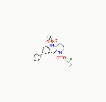 CS(=O)(=O)N[C@H]1CCCN(C(=O)OCC2(F)CC2)[C@H]1Cc1cccc(-c2ccccc2)c1